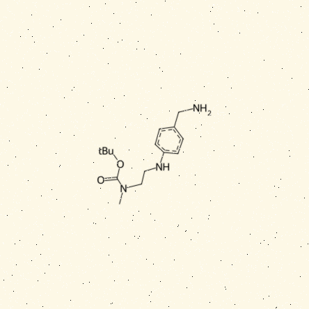 CN(CCNc1ccc(CN)cc1)C(=O)OC(C)(C)C